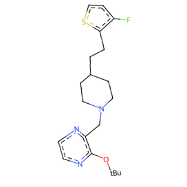 CC(C)(C)Oc1nccnc1CN1CCC(CCc2sccc2F)CC1